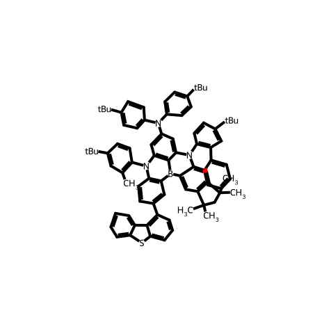 Cc1cc(C(C)(C)C)ccc1N1c2ccc(-c3cccc4sc5ccccc5c34)cc2B2c3cc4c(cc3N(c3ccc(C(C)(C)C)cc3-c3ccccc3)c3cc(N(c5ccc(C(C)(C)C)cc5)c5ccc(C(C)(C)C)cc5)cc1c32)C(C)(C)CC4(C)C